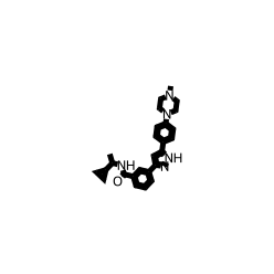 CC(NC(=O)c1cccc(-c2cc(-c3ccc(N4CCN(C)CC4)cc3)[nH]n2)c1)C1CC1